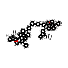 CC1(C)c2ccccc2-c2ccc(N(c3cccc(-c4ccc(-c5cccc(-c6ccc(N7c8ccccc8C8(c9ccccc9-c9c(N(c%10ccc%11c(c%10)C(C)(C)c%10ccccc%10-%11)c%10ccc(-c%11ccccc%11)cc%10-c%10ccccc%10)cccc98)c8ccccc87)cc6)c5)cc4)c3)c3cccc4c3-c3ccccc3C43c4ccccc4N(c4ccccc4)c4ccccc43)cc21